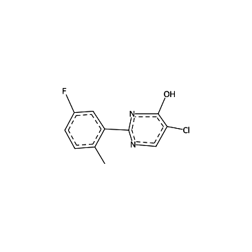 Cc1ccc(F)cc1-c1ncc(Cl)c(O)n1